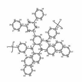 CC(C)(C)c1ccc(N2c3cc(-c4nc(-c5ccccc5)nc(-c5ccccc5)n4)cc4c3B(c3ccc5c(ccc6ccccc65)c32)c2ccc3c(ccc5ccccc53)c2N4c2ccc(C(C)(C)C)cc2)cc1